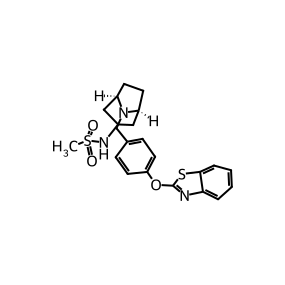 CS(=O)(=O)NC1C[C@H]2CC[C@@H](C1)N2Cc1ccc(Oc2nc3ccccc3s2)cc1